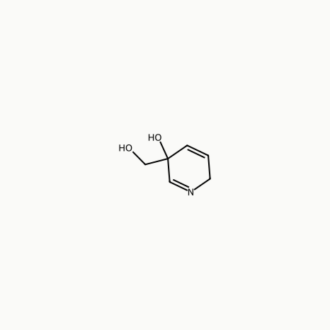 OCC1(O)C=CCN=C1